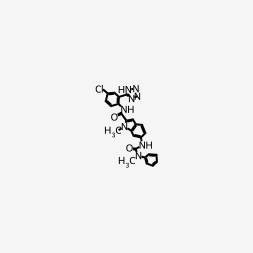 CN(C(=O)Nc1ccc2cc(C(=O)Nc3ccc(Cl)cc3-c3nnn[nH]3)n(C)c2c1)c1ccccc1